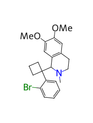 COc1cc2c(cc1OC)C(C1(c3ccccc3Br)CCC1)N(C)CC2